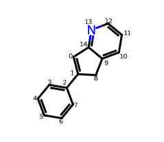 C1=C(c2ccccc2)Cc2cccnc21